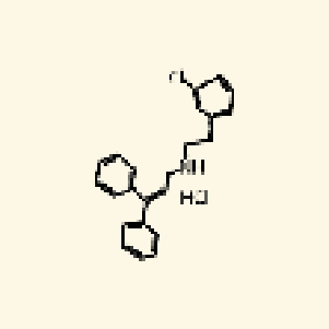 Cl.Clc1cccc(CCNCC=C(c2ccccc2)c2ccccc2)c1